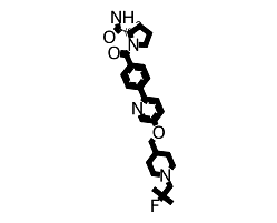 CC(C)(F)CN1CCC(COc2ccc(-c3ccc(C(=O)N4CCC[C@H]4C(N)=O)cc3)nc2)CC1